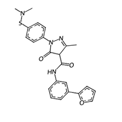 CC1=NN(c2ccc(SN(C)C)cc2)C(=O)C1C(=O)Nc1cccc(-c2ccco2)c1